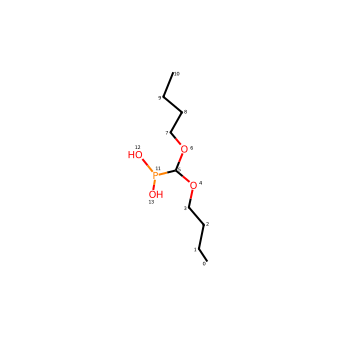 CCCCOC(OCCCC)P(O)O